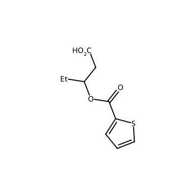 CCC(CC(=O)O)OC(=O)c1cccs1